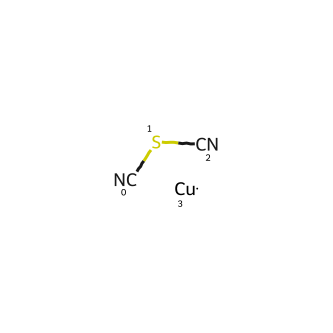 N#CSC#N.[Cu]